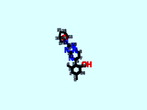 Cc1cc(C)c(-c2ccn3nc(N4CC5CC(C4)O5)nc3n2)c(O)c1